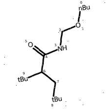 CCCCOCNC(=O)C(CC(C)(C)C)C(C)(C)C